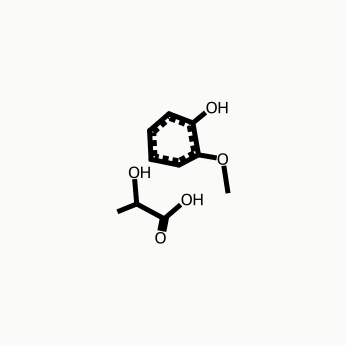 CC(O)C(=O)O.COc1ccccc1O